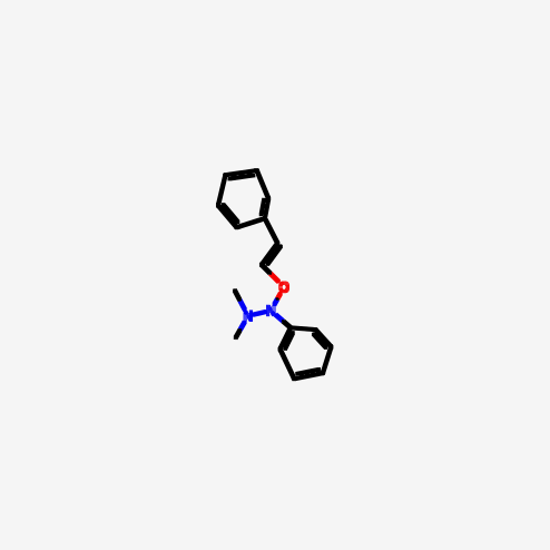 CN(C)N(OC=Cc1ccccc1)c1ccccc1